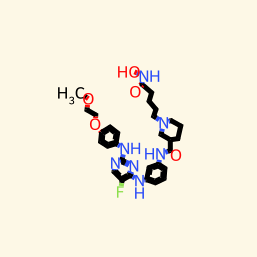 COCCOc1ccc(Nc2ncc(F)c(Nc3cccc(NC(=O)C4CCCN(CCCCC(=O)NO)C4)c3)n2)cc1